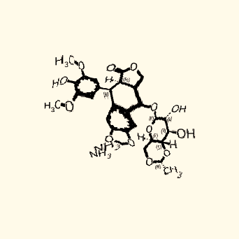 COc1cc([C@@H]2c3cc4c(cc3C(O[C@@H]3O[C@@H]5CO[C@@H](C)O[C@H]5[C@H](O)[C@H]3O)C3COC(=O)[C@@H]32)OCO4)cc(OC)c1O.N.N